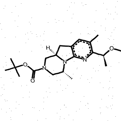 CO[C@@H](C)c1nc2c(cc1C)C[C@@H]1CN(C(=O)OC(C)(C)C)C[C@@H](C)N21